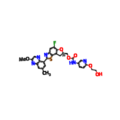 COc1cnc2c(-c3nc4cc(F)c5c(c4s3)C[C@H](COC(=O)Nc3ccc(OCCO)nc3)O5)cc(C)cc2n1